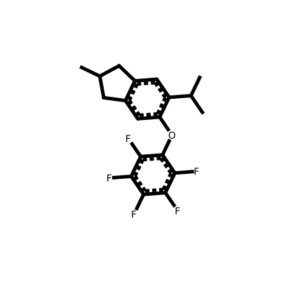 CC1Cc2cc(Oc3c(F)c(F)c(F)c(F)c3F)c(C(C)C)cc2C1